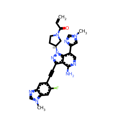 C=CC(=O)N1CC[C@H](n2nc(C#Cc3cc4ncn(C)c4cc3F)c3c(N)ncc(-c4cn(C)cn4)c32)C1